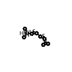 c1ccc(C2=NC(c3ccc4c(c3)sc3ccc(-c5ccc6c(c5)sc5ccc(-n7c8ccccc8c8ccccc87)cc56)cc34)NC(c3ccccc3)N2)cc1